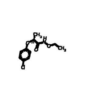 CCONC(=O)[C@H](C)Oc1ccc(Cl)cc1